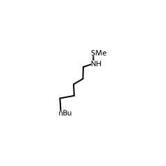 CCCCCCCCCNSC